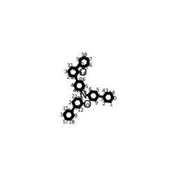 c1ccc(-c2ccc3c(c2)Oc2cc(-c4ccccc4)ccc2N3c2ccc(-c3cccc4c3oc3ccccc34)cc2)cc1